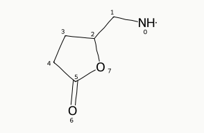 [NH]CC1CCC(=O)O1